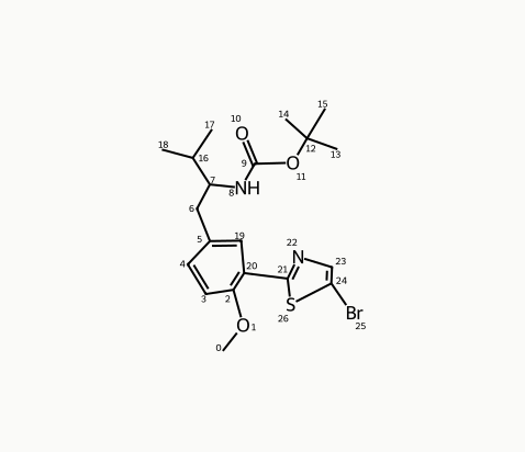 COc1ccc(CC(NC(=O)OC(C)(C)C)C(C)C)cc1-c1ncc(Br)s1